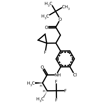 C[C@H]([C@@H](C)C(=O)Nc1cc(C(CC(=O)OC(C)(C)C)C2(F)CC2)ccc1Cl)C(F)(F)F